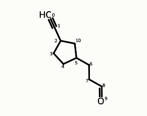 C#CC1CCC(CCC=O)C1